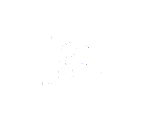 CC(C)(C)OC(=O)N1c2c(C#N)cc(N)cc2[C@@H]2CN(C(=O)O)CC[C@@H]21